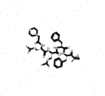 C[C@]1(C(=O)[C@H](Cc2ccccc2)NC(=O)[C@H](Cc2ccccc2)NC(=O)[C@H](COC(F)F)NC(=O)[C@H](COC(F)F)NC(=O)CN2CCOCC2)CO1